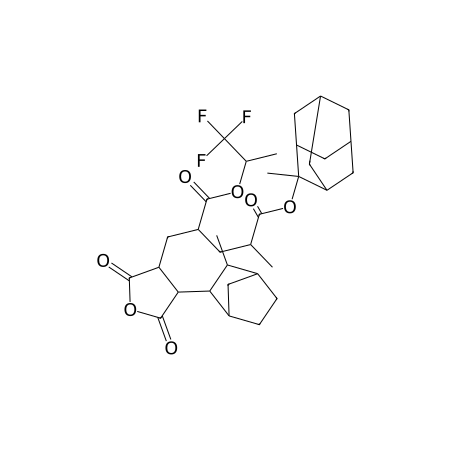 CC(CC(CC1C(=O)OC(=O)C1C1C2CCC(C2)C1C)C(=O)OC(C)C(F)(F)F)C(=O)OC1(C)C2CC3CC(C2)CC1C3